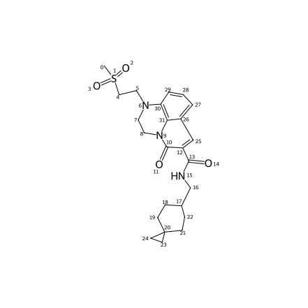 CS(=O)(=O)CCN1CCn2c(=O)c(C(=O)NCC3CCC4(CC3)CC4)cc3cccc1c32